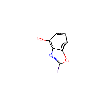 Oc1cccc2oc(I)nc12